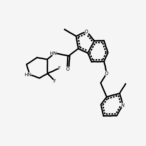 Cc1ncccc1COc1ccc2oc(C)c(C(=O)NC3CCNCC3(F)F)c2c1